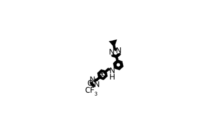 FC(F)(F)c1nc(C23CCC(CNc4cccc(-c5cnc(C6CC6)nc5)c4)(CC2)CC3)no1